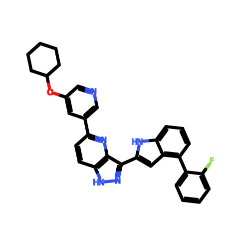 Fc1ccccc1-c1cccc2[nH]c(-c3n[nH]c4ccc(-c5cncc(OC6CCCCC6)c5)nc34)cc12